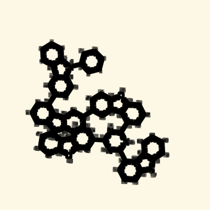 c1ccc(-n2c3ccccc3c3cc(-c4cccc5sc6ccc(-c7ccc8oc9cccc(-c%10nc(-c%11ccc%12c(c%11)oc%11ccccc%11%12)nc(-c%11cccc%12sc%13ccccc%13c%11%12)n%10)c9c8c7)cc6c45)ccc32)cc1